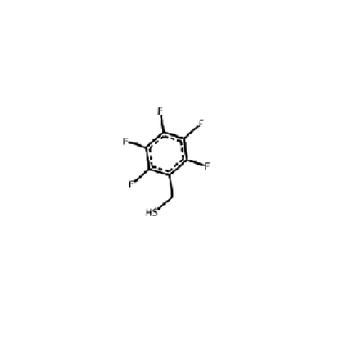 Fc1c(F)c(F)c(CS)c(F)c1F